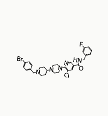 O=C(NCc1cccc(F)c1)c1cnc(N2CCN(C3CCN(Cc4ccc(Br)cc4)CC3)CC2)c(Cl)c1